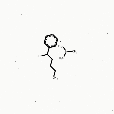 BC(CCCC)c1ccccc1.CN(C)C